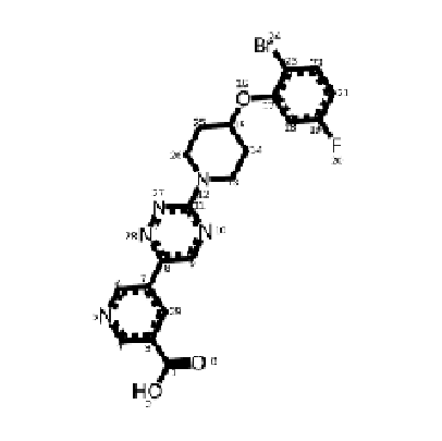 O=C(O)c1cncc(-c2cnc(N3CCC(Oc4cc(F)ccc4Br)CC3)nn2)c1